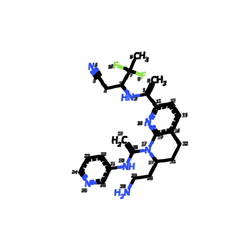 C=C(NC(CC#N)C(C)(F)F)c1ccc2c(n1)N(C(=C)Nc1cccnc1)C(CCN)CC2